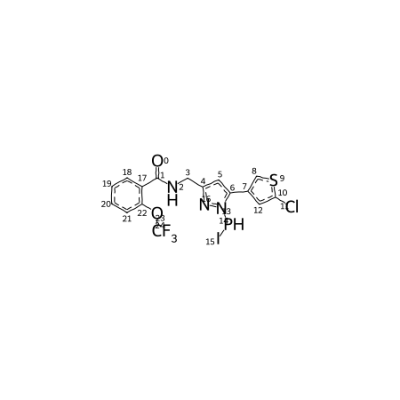 O=C(NCc1cc(-c2csc(Cl)c2)n(PI)n1)c1ccccc1OC(F)(F)F